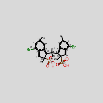 Cc1cc(Br)c2c(c1)=C(C(C)(C)C1=c3cc(C)cc(Br)c3=CC1(C)S(=O)(=O)O)C(C)(S(=O)(=O)O)C=2